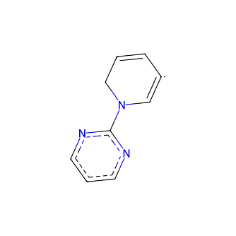 [C]1=CN(c2ncccn2)CC=C1